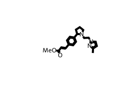 COC(=O)C=Cc1ccc(C2CCCN2CCn2ccc(C)n2)cc1